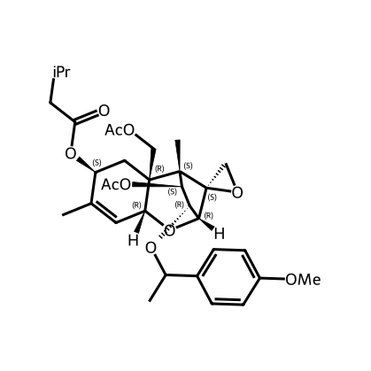 COc1ccc(C(C)O[C@@H]2[C@@H](OC(C)=O)[C@]3(C)[C@@]4(COC(C)=O)C[C@H](OC(=O)CC(C)C)C(C)=C[C@H]4O[C@H]2[C@@]32CO2)cc1